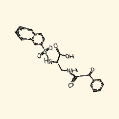 O=C(NC[C@@H](NS(=O)(=O)c1ccc2ccccc2c1)C(=O)O)C(=O)c1ccccc1